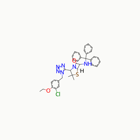 CCOc1ccc(Cn2nnnc2C2N3C(=O)C(NC(c4ccccc4)(c4ccccc4)c4ccccc4)[C@H]3SC2(C)C)cc1Cl